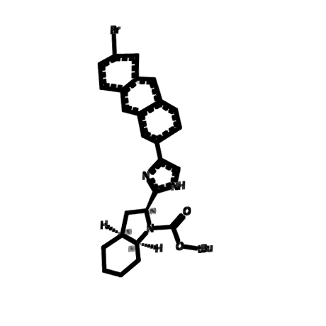 CC(C)(C)OC(=O)N1[C@H](c2nc(-c3ccc4cc5cc(Br)ccc5cc4c3)c[nH]2)C[C@@H]2CCCC[C@@H]21